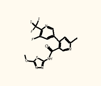 COc1nnc(NC(=O)c2cnc(C)cc2-c2cnc(C(F)(F)F)c(F)c2)s1